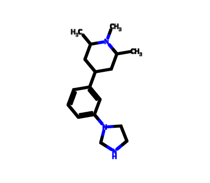 CC1CC(c2cccc(N3CCNC3)c2)CC(C)N1C